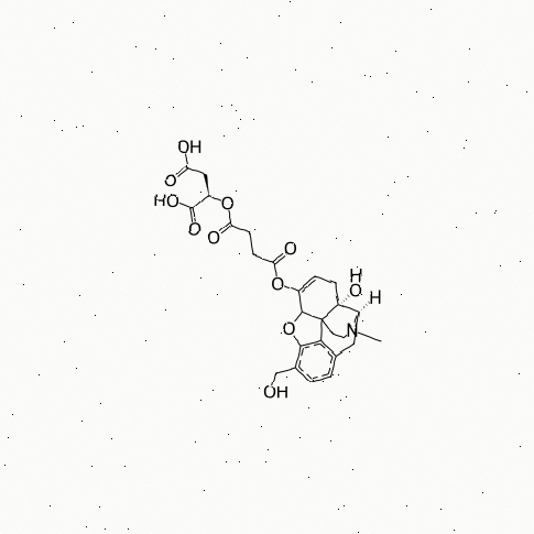 CN1CCC23c4c5ccc(CO)c4OC2C(OC(=O)CCC(=O)O[C@H](CC(=O)O)C(=O)O)=CC[C@@]3(O)[C@H]1C5